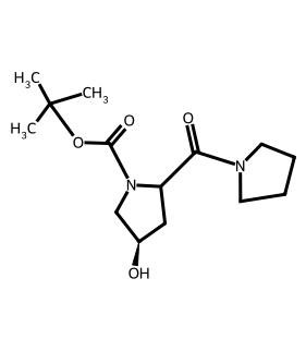 CC(C)(C)OC(=O)N1C[C@H](O)CC1C(=O)N1CCCC1